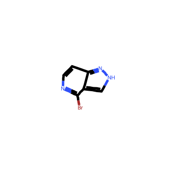 Brc1nccc2n[nH]cc12